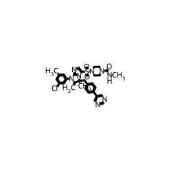 C=C1N(c2cc(C)cc(Cl)c2)c2ncc(S(=O)(=O)N3CCN(C(=O)NC)CC3)n2[C@]1(C)Cc1ccc(-c2cncnc2)cc1